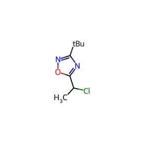 CC(Cl)c1nc(C(C)(C)C)no1